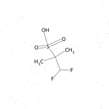 CC(C)(C(F)F)S(=O)(=O)O